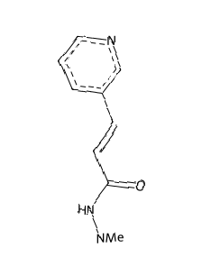 CNNC(=O)C=Cc1cccnc1